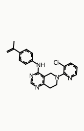 C=C(C)c1ccc(Nc2ncnc3c2CN(c2ncccc2Cl)CC3)cc1